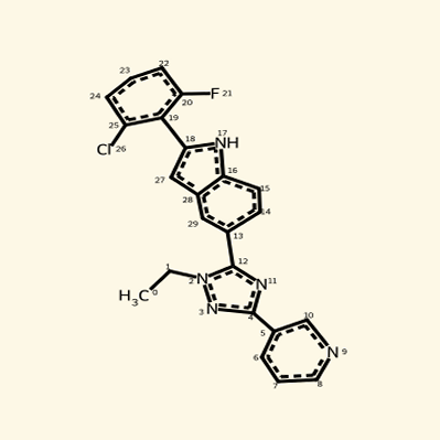 CCn1nc(-c2cccnc2)nc1-c1ccc2[nH]c(-c3c(F)cccc3Cl)cc2c1